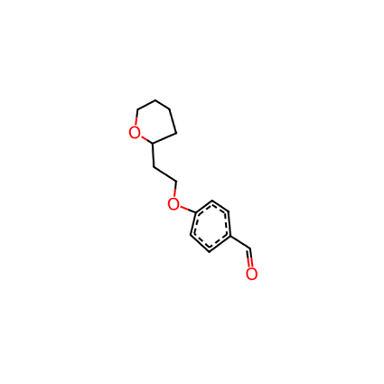 O=Cc1ccc(OCCC2CCCCO2)cc1